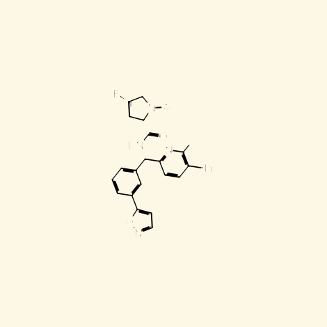 CC(=O)N1C[C@H](F)C[C@H]1C(=O)N[C@@H](c1cccc(-c2ccno2)c1)c1ccc(C(C)C)c(F)n1